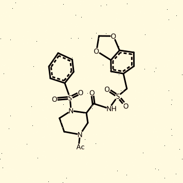 CC(=O)N1CCN(S(=O)(=O)c2ccccc2)C(C(=O)NS(=O)(=O)Cc2ccc3c(c2)OCO3)C1